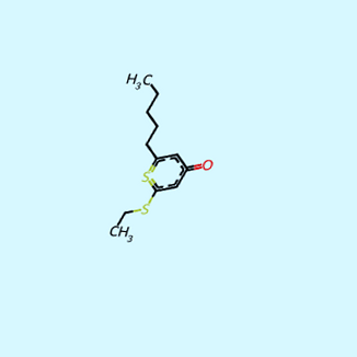 CCCCCc1cc(=O)cc(SCC)s1